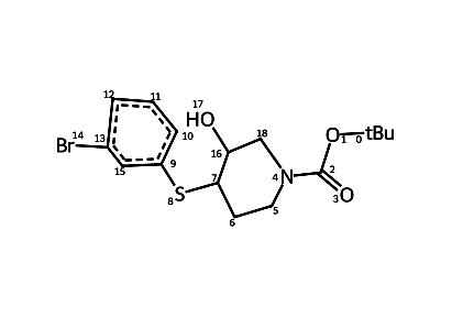 CC(C)(C)OC(=O)N1CCC(Sc2cccc(Br)c2)C(O)C1